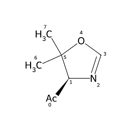 CC(=O)[C@@H]1N=COC1(C)C